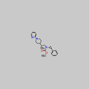 CC(C)(C)OC(=O)N(CC(C1CCN(c2ccccn2)CC1)C(C)(C)C)[C@@H]1C[C@H]1c1ccccc1